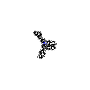 c1ccc(C2(c3ccccc3)c3ccccc3-c3ccc(N(c4ccc(-c5ccc6c(ccc7ccccc76)c5)cc4)c4ccc(-c5ccc6c(ccc7ccccc76)c5)cc4)cc32)cc1